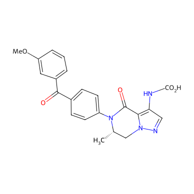 COc1cccc(C(=O)c2ccc(N3C(=O)c4c(NC(=O)O)cnn4C[C@@H]3C)cc2)c1